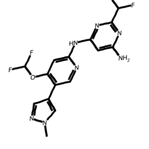 Cn1cc(-c2cnc(Nc3cc(N)nc(C(F)F)n3)cc2OC(F)F)cn1